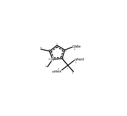 CCCCCCC(C)(CCCCC)c1c(OC)cc(C)n1C